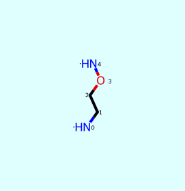 [NH]CCO[NH]